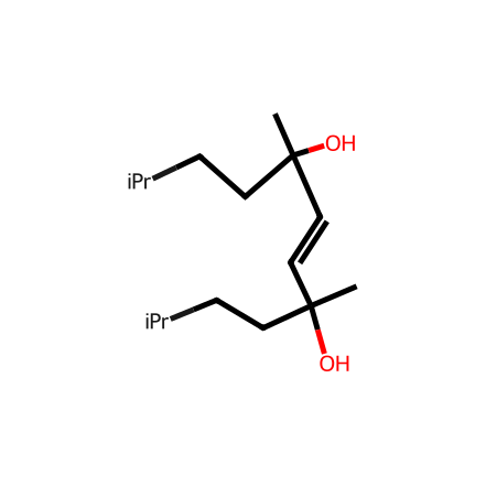 [CH2]C(C)CCC(C)(O)C=CC(C)(O)CCC(C)C